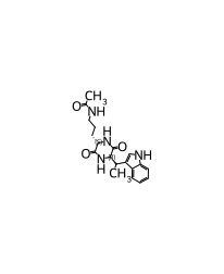 CC(=O)NCCC[C@@H]1NC(=O)[C@@H](C(C)c2c[nH]c3ccccc23)NC1=O